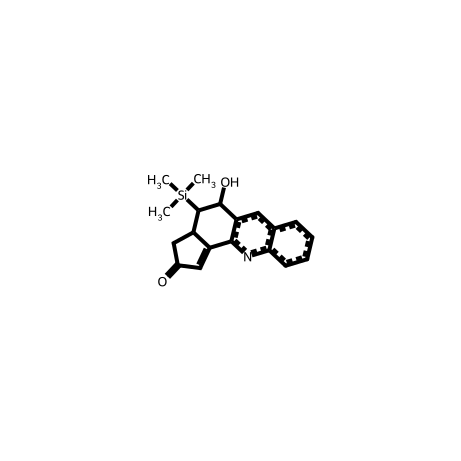 C[Si](C)(C)C1C2CC(=O)C=C2c2nc3ccccc3cc2C1O